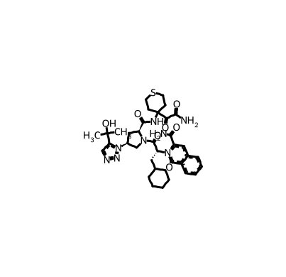 CC(C)(O)c1cnnn1[C@H]1C[C@@H](C(=O)NC2(C(=O)C(N)=O)CCSCC2)N(C(=O)[C@@H](CC2CCCCC2)n2c(C(N)=O)cc3ccccc3c2=O)C1